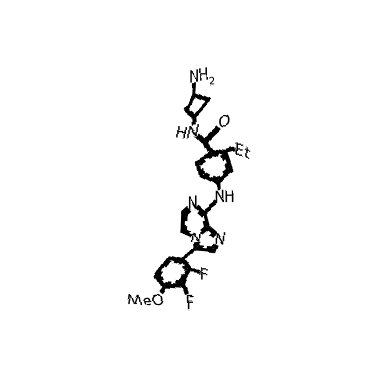 CCc1cc(Nc2nccn3c(-c4ccc(OC)c(F)c4F)cnc23)ccc1C(=O)NC1CC(N)C1